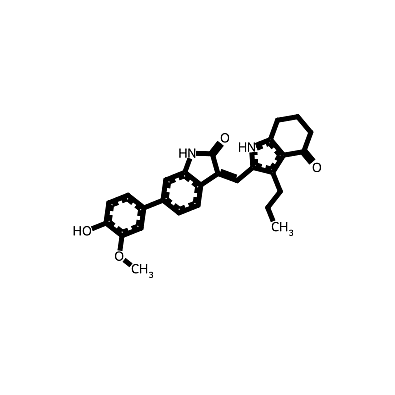 CCCc1c(/C=C2\C(=O)Nc3cc(-c4ccc(O)c(OC)c4)ccc32)[nH]c2c1C(=O)CCC2